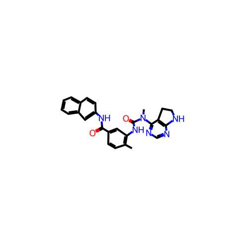 Cc1ccc(C(=O)Nc2ccc3ccccc3c2)cc1NC(=O)N(C)c1ncnc2c1CCN2